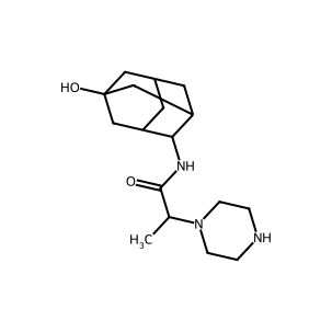 CC(C(=O)NC1C2CC3CC1CC(O)(C3)C2)N1CCNCC1